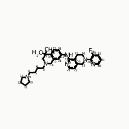 CC1(C)CN(CCCCN2CCCC2)Cc2cc(Nc3nccc4c3CCN(c3ncccc3F)C4)ccc21